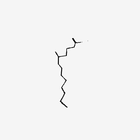 CCCCCCCCC(C)CCCC(=O)O